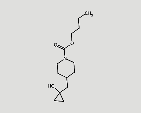 CCCCOC(=O)N1CCC(CC2(O)CC2)CC1